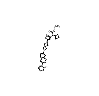 CCOC(=O)C(C1CCC1)n1cc(N2CC3(CC(c4ccc5cc(-c6ccccc6O)nnc5c4)C3)C2)nn1